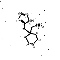 NCC1(Cc2nnn[nH]2)CCSCC1